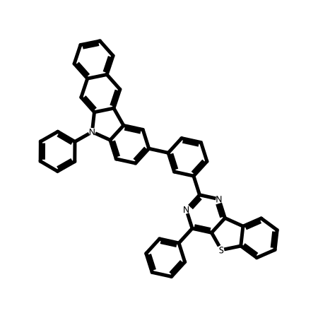 c1ccc(-c2nc(-c3cccc(-c4ccc5c(c4)c4cc6ccccc6cc4n5-c4ccccc4)c3)nc3c2sc2ccccc23)cc1